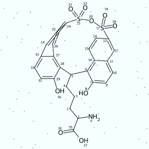 NC(CCCC1c2c(O)ccc3cc(ccc23)S(=O)(=O)OS(=O)(=O)c2ccc3c1c(O)ccc3c2)C(=O)O